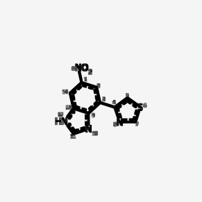 O=[N+]([O-])c1cc(-c2cscn2)c2nc[nH]c2c1